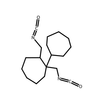 O=C=NCC1CCCCCC1(CN=C=O)C1CCCCCC1